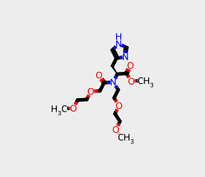 COCCOCCN(C(=O)COCCOC)[C@@H](Cc1c[nH]cn1)C(=O)OC